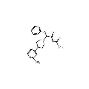 CC(=O)OC(=O)C(Oc1ccccc1)N1CCN(c2ccnc(C)c2)CC1